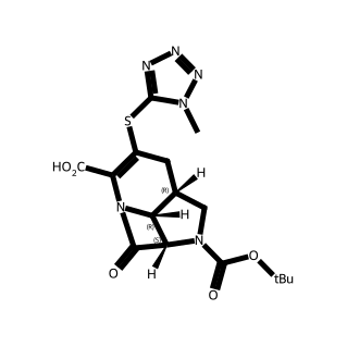 Cn1nnnc1SC1=C(C(=O)O)N2C(=O)[C@@H]3[C@H]2[C@H](C1)CN3C(=O)OC(C)(C)C